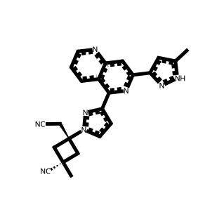 Cc1cc(-c2cc3ncccc3c(-c3ccn([C@]4(CC#N)C[C@](C)(C#N)C4)n3)n2)n[nH]1